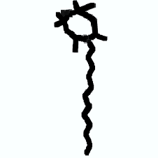 CCCCCCCCCCCCN1C(C)CC(C)(C)NC(C)(C)CC1C